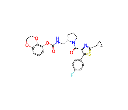 O=C(NC[C@@H]1CCCN1C(=O)c1nc(C2CC2)sc1-c1ccc(F)cc1)Oc1cccc2c1OCCO2